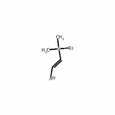 CCC/C=C/[Si](C)(C)CC